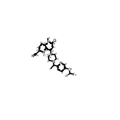 CC(c1ccc(OC(F)F)cn1)N1CCN(c2cc(=O)n(C)c3ccc(C#N)nc23)[C@@H](C)C1